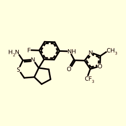 Cc1nc(C(=O)Nc2ccc(F)c(C34CCCC3CSC(N)=N4)c2)c(C(F)(F)F)o1